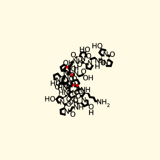 NCCCC[C@H](NC(=O)CNC(=O)[C@@H]1C[C@@H](O)CN1C(=O)[C@@H]1CCCN1C(=O)CNC(=O)[C@@H]1C[C@@H](O)CN1C(=O)[C@@H]1CCCN1C(=O)CNC(=O)[C@@H]1C[C@@H](O)CN1C(=O)[C@@H]1CCCN1)C(=O)N1C[C@H](O)C[C@H]1C(=O)NCC(=O)N1CCC[C@H]1C(=O)N1C[C@H](O)C[C@H]1C(=O)NCC(=O)N1CCC[C@H]1C(=O)N1C[C@H](O)C[C@H]1C(=O)NCC(=O)N1CCC[C@H]1C(=O)N1C[C@H](O)C[C@H]1C(=O)NCC(=O)O